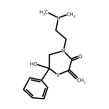 C=C1SC(O)(c2ccccc2)CN(CCN(C)C)C1=O